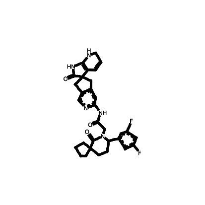 O=C(CN1C(=O)C2(CCCC2)CCC1c1cc(F)cc(F)c1)Nc1cc2c(cn1)CC1(C2)C(=O)NC2=C1C=CCN2